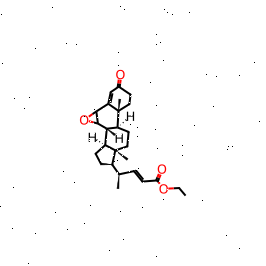 CCOC(=O)/C=C/[C@@H](C)[C@H]1CC[C@H]2[C@@H]3C4OC4C4=CC(=O)CC[C@]4(C)[C@H]3CC[C@]12C